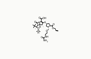 C=CCOC(=O)N1C[C@@H](SC2=C(C(=O)O)N3C(=O)[C@H]([C@@](C)(O[SiH](C)C)C(C)(C)C)[C@H]3[C@H]2C)C[C@H]1COCCNC(N)=O